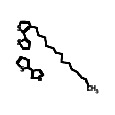 CCCCCCCCCCCCCCc1ccsc1-c1cccs1.c1csc(-c2ccsc2)c1